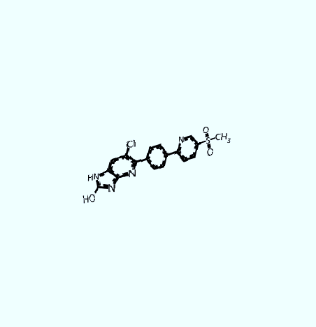 CS(=O)(=O)c1ccc(-c2ccc(-c3nc4nc(O)[nH]c4cc3Cl)cc2)nc1